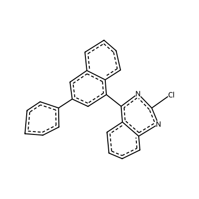 Clc1nc(-c2cc(-c3ccccc3)cc3ccccc23)c2ccccc2n1